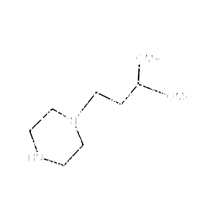 COC(CCN1CCNCC1)OC